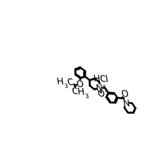 CC(C)Oc1ccccc1C1CC[N+]([O-])(Cc2cccc(C(=O)N3CCCCC3)c2)CC1.Cl